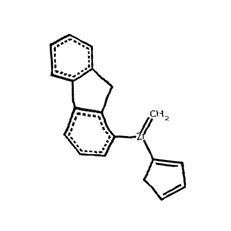 [CH2]=[Zr]([C]1=CC=CC1)[c]1cccc2c1Cc1ccccc1-2